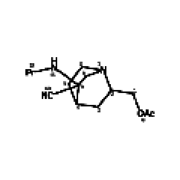 CC(=O)OCC1CC2CCN1CC2(C#N)NC(C)C